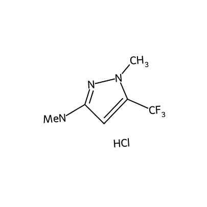 CNc1cc(C(F)(F)F)n(C)n1.Cl